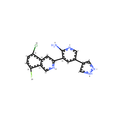 Nc1ncc(-c2cn[nH]c2)cc1-c1cc2c(Cl)ccc(F)c2cn1